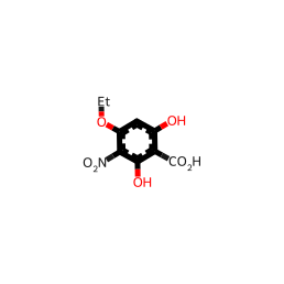 CCOc1cc(O)c(C(=O)O)c(O)c1[N+](=O)[O-]